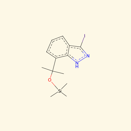 CC(C)(O[Si](C)(C)C)c1cccc2c(I)n[nH]c12